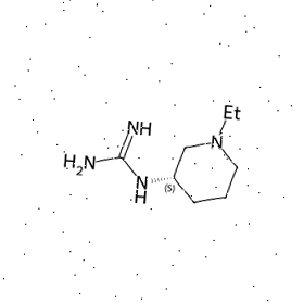 CCN1CCC[C@H](NC(=N)N)C1